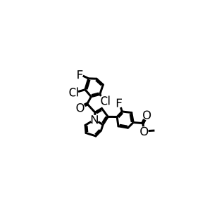 COC(=O)c1ccc(-c2cc(C(=O)c3c(Cl)ccc(F)c3Cl)n3ccccc23)c(F)c1